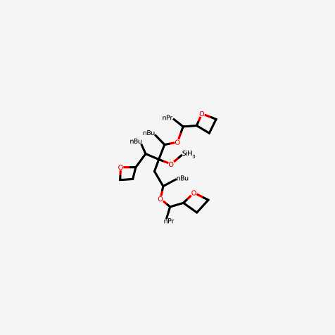 CCCCC(CC(O[SiH3])(C(CCCC)OC(CCC)C1CCO1)C(CCCC)C1CCO1)OC(CCC)C1CCO1